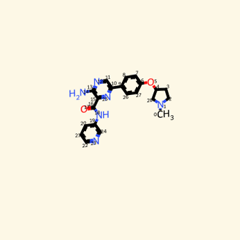 CN1CCC(Oc2ccc(-c3cnc(N)c(C(=O)Nc4cccnc4)n3)cc2)C1